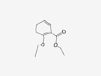 CCOC(=O)C1=C(OCC)CCC=C1